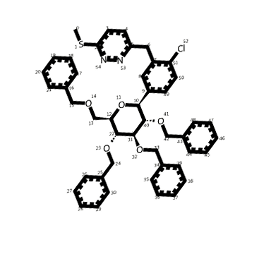 CSc1ccc(Cc2cc([C@@H]3O[C@H](COCc4ccccc4)[C@@H](OCc4ccccc4)[C@H](OCc4ccccc4)[C@H]3OCc3ccccc3)ccc2Cl)nn1